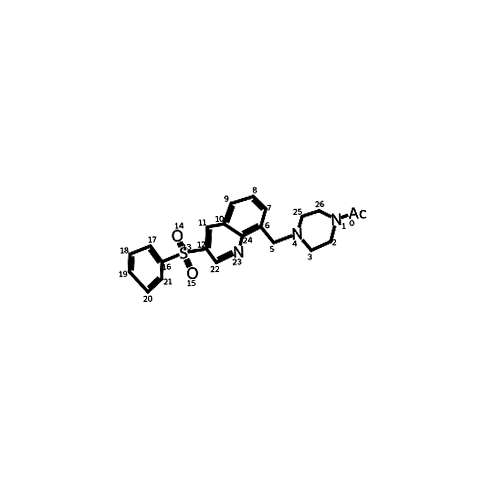 CC(=O)N1CCN(Cc2cccc3cc(S(=O)(=O)c4ccccc4)cnc23)CC1